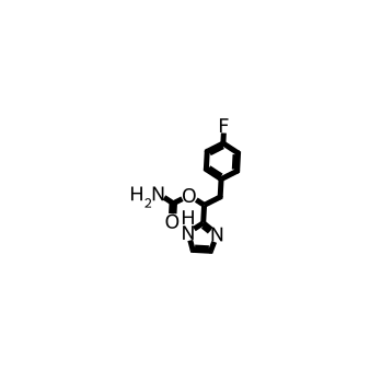 NC(=O)OC(Cc1ccc(F)cc1)c1ncc[nH]1